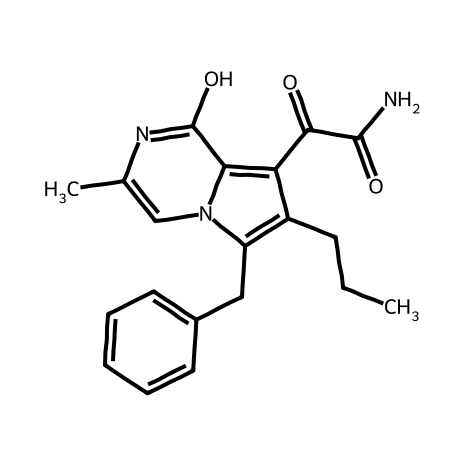 CCCc1c(C(=O)C(N)=O)c2c(O)nc(C)cn2c1Cc1ccccc1